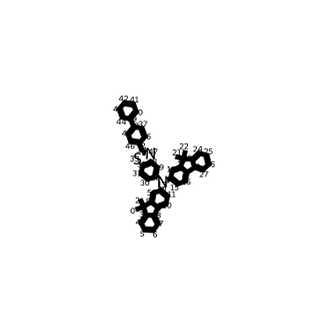 CC1(C)c2ccccc2-c2ccc(N(c3ccc4c(c3)C(C)(C)c3ccccc3-4)c3ccc4sc(-c5ccc(-c6ccccc6)cc5)nc4c3)cc21